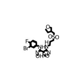 O=S(=O)(CCCNc1nonc1C(=NO)Nc1ccc(F)c(Br)c1)CC1CCOC1